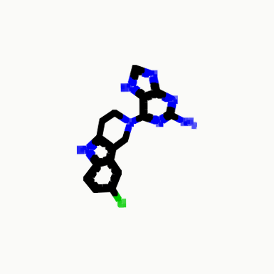 Nc1nc(N2CCc3[nH]c4ccc(Cl)cc4c3C2)c2[nH]cnc2n1